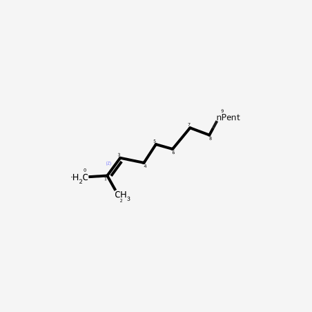 [CH2]/C(C)=C/CCCCCCCCCC